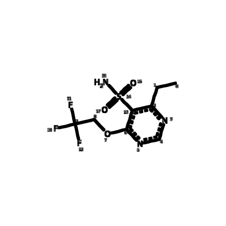 CCc1ncnc(OCC(F)(F)F)c1S(N)(=O)=O